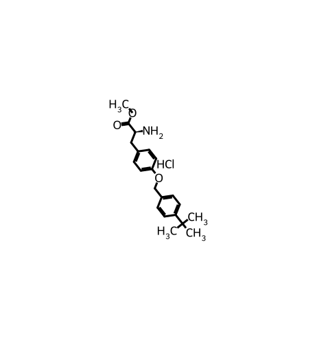 COC(=O)[C@@H](N)Cc1ccc(OCc2ccc(C(C)(C)C)cc2)cc1.Cl